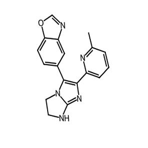 Cc1cccc(-c2nc3n(c2-c2ccc4ocnc4c2)CCN3)n1